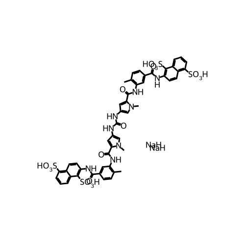 Cc1ccc(C(=O)Nc2ccc3c(S(=O)(=O)O)cccc3c2S(=O)(=O)O)cc1NC(=O)c1cc(NC(=O)Nc2cc(C(=O)Nc3cc(C(=O)Nc4ccc5c(S(=O)(=O)O)cccc5c4S(=O)(=O)O)ccc3C)n(C)c2)cn1C.[NaH].[NaH]